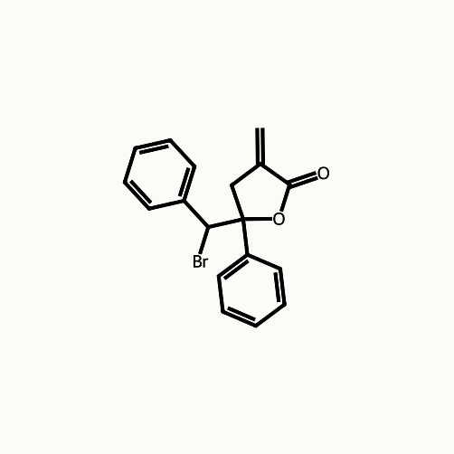 C=C1CC(c2ccccc2)(C(Br)c2ccccc2)OC1=O